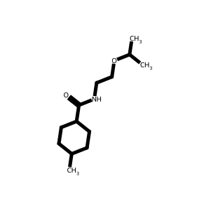 CC1CCC(C(=O)NCCOC(C)C)CC1